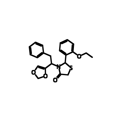 CCOc1ccccc1C1SCC(=O)N1C(Cc1ccccc1)C1=COCO1